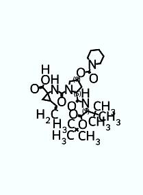 C=CC1CC1(NC(=O)N1C[C@@H](OC(=O)N2CCCCC2)C[C@H]1C(=O)N[C@H](C(=O)OC(C)(C)C)C(C)(C)C)C(=O)O